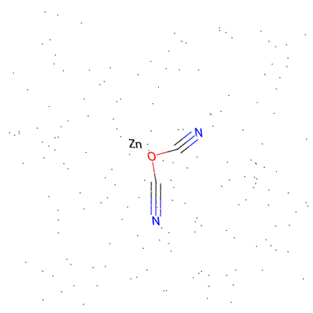 N#COC#N.[Zn]